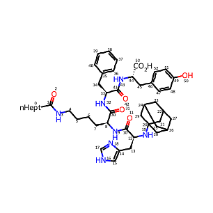 CCCCCCCC(=O)NCCCC[C@H](NC(=O)[C@H](Cc1c[nH]cn1)NC12CC3CC(CC(C3)C1)C2)C(=O)N[C@@H](Cc1ccccc1)C(=O)N[C@@H](Cc1ccc(O)cc1)C(=O)O